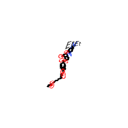 C=CC(=O)OCCCCCCOc1ccc(C(=O)Oc2ccc3c4nc5ccc(N(CC)CC)cc5oc-4cc(=O)c3c2)cc1